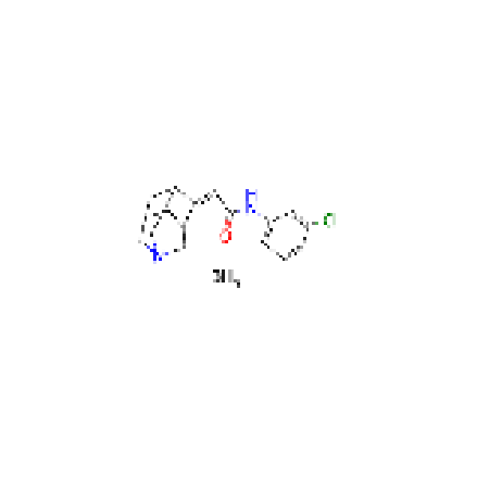 B.O=C(C=C1C2CC3CC1CN(C3)C2)Nc1cccc(Cl)c1